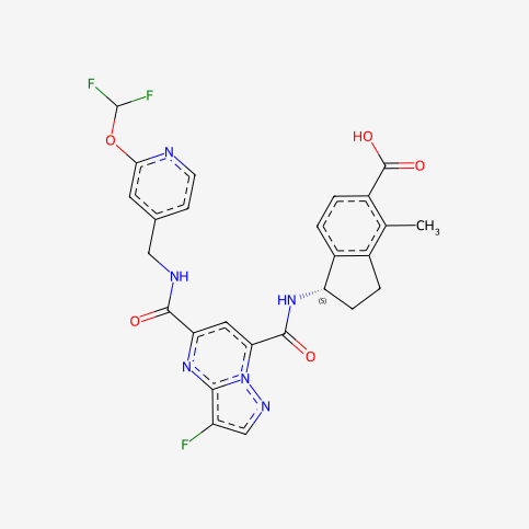 Cc1c(C(=O)O)ccc2c1CC[C@@H]2NC(=O)c1cc(C(=O)NCc2ccnc(OC(F)F)c2)nc2c(F)cnn12